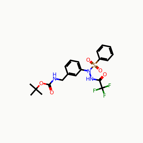 CC(C)(C)OC(=O)NCc1cccc(N(NC(=O)C(F)(F)F)S(=O)(=O)c2ccccc2)c1